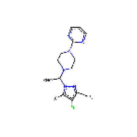 Cc1c(Cl)c(C(F)(F)F)nn1C(C=O)N1CCN(c2ncccn2)CC1